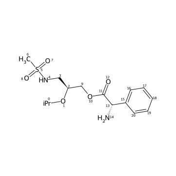 CC(C)O[C@@H](CNS(C)(=O)=O)COC(=O)[C@@H](N)c1ccccc1